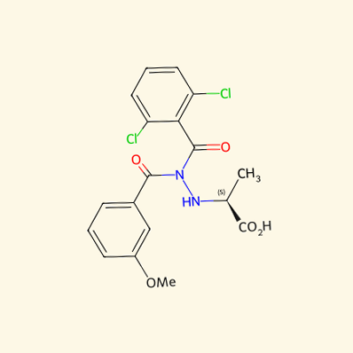 COc1cccc(C(=O)N(N[C@@H](C)C(=O)O)C(=O)c2c(Cl)cccc2Cl)c1